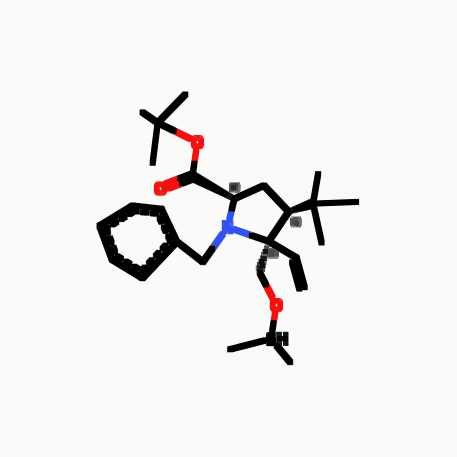 C=C[C@]1(CO[SiH](C)C)[C@H](C(C)(C)C)C[C@H](C(=O)OC(C)(C)C)N1Cc1ccccc1